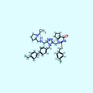 CCN1CCCC1CNCc1nnc(Cn2c(SCc3ccc(F)cc3)nc(=O)c3c2CCC3)n1Cc1ccc(-c2ccc(CF)cc2)cc1